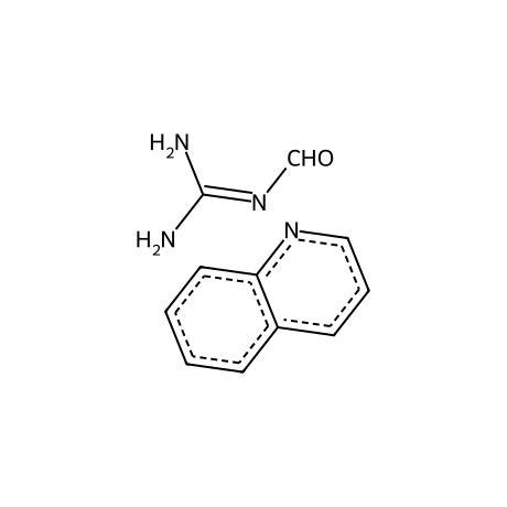 NC(N)=NC=O.c1ccc2ncccc2c1